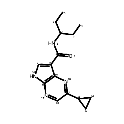 CCC(CC)NC(=O)c1c[nH]c2ncc(C3CC3)nc12